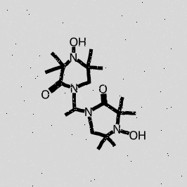 CC(N1CC(C)(C)N(O)C(C)(C)C1=O)N1CC(C)(C)N(O)C(C)(C)C1=O